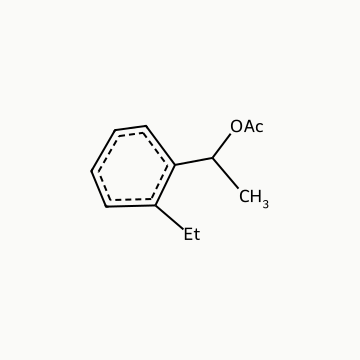 CCc1ccccc1C(C)OC(C)=O